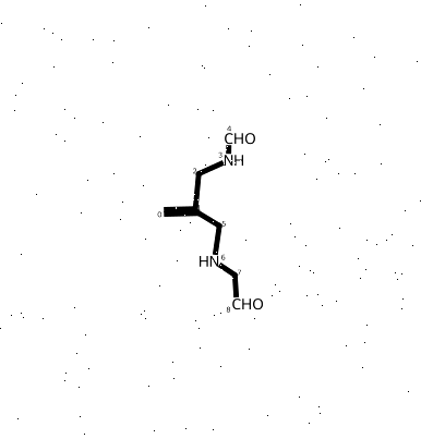 C=C(CNC=O)CNCC=O